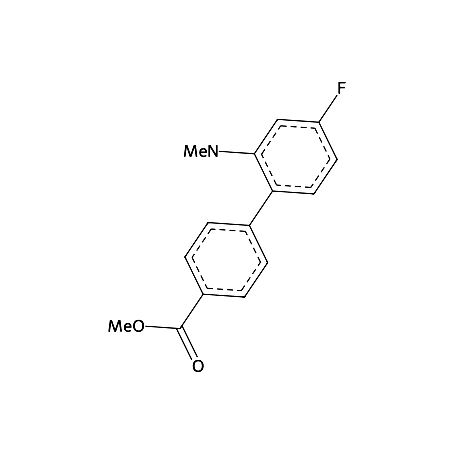 CNc1cc(F)ccc1-c1ccc(C(=O)OC)cc1